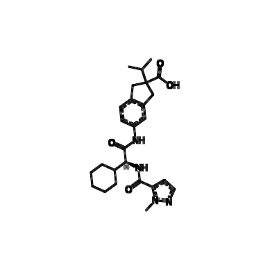 CC(C)C1(C(=O)O)Cc2ccc(NC(=O)[C@@H](NC(=O)c3ccnn3C)C3CCCCC3)cc2C1